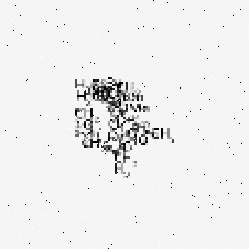 C=CC1CC(=C)C(CCC2CC(C)C(=C)C(C[C@@H]3OC(CC(CO[Si](C)(C)C(C)(C)C)O[Si](C)(C)C(C)(C)C)[C@H](OC)C3CC(=O)CC(C)O)O2)O1